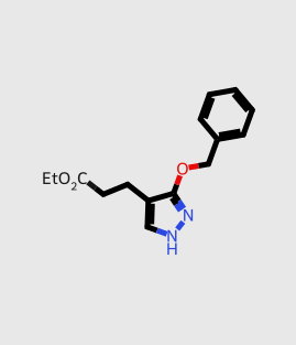 CCOC(=O)CCc1c[nH]nc1OCc1ccccc1